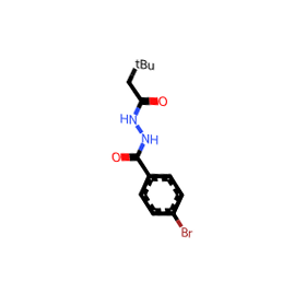 CC(C)(C)CC(=O)NNC(=O)c1ccc(Br)cc1